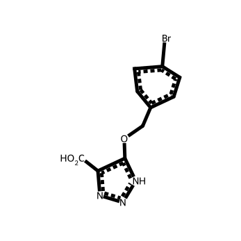 O=C(O)c1nn[nH]c1OCc1ccc(Br)cc1